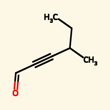 CCC(C)C#CC=O